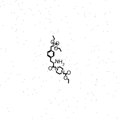 CCOC(=O)N1CCN(C(=O)[C@@H](N)Cc2ccc(CP(=O)(OCC)OCC)cc2)CC1